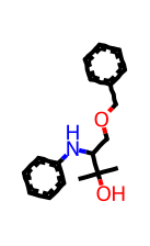 CC(C)(O)C(COCc1ccccc1)Nc1ccccc1